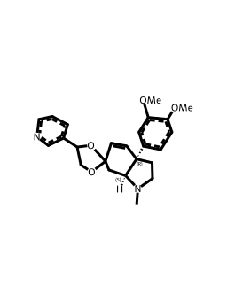 COc1ccc([C@@]23C=CC4(C[C@@H]2N(C)CC3)OCC(c2cccnc2)O4)cc1OC